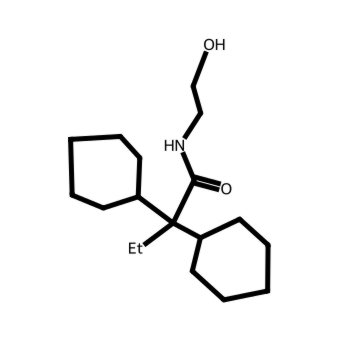 CCC(C(=O)NCCO)(C1CCCCC1)C1CCCCC1